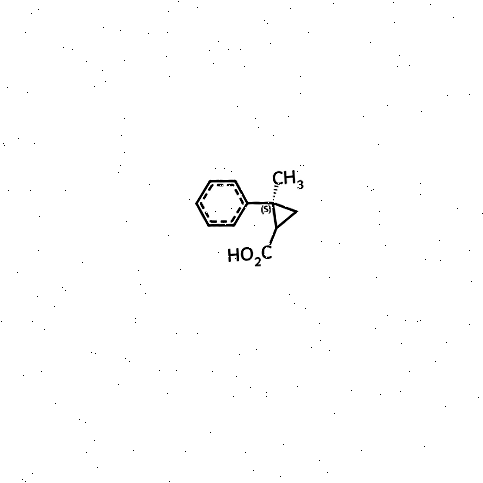 C[C@]1(c2ccccc2)CC1C(=O)O